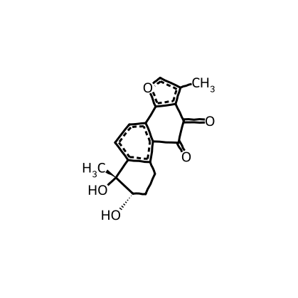 Cc1coc2c1C(=O)C(=O)c1c-2ccc2c1CC[C@H](O)[C@]2(C)O